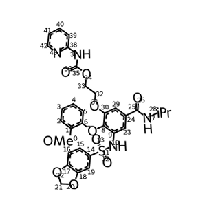 COc1ccccc1Oc1c(NS(=O)(=O)c2ccc3c(c2)OCO3)cc(C(=O)NC(C)C)cc1OCCOC(=O)Nc1ccccn1